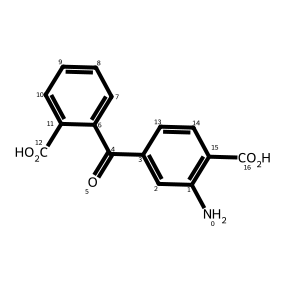 Nc1cc(C(=O)c2ccccc2C(=O)O)ccc1C(=O)O